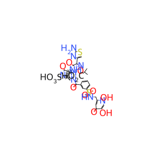 CC(C)(O/N=C(\C(=O)N[C@@H]1C(=O)N(S(=O)(=O)O)[C@@H]1CNC(=O)c1cccc(S(=O)(=O)NCc2cc(=O)c(O)cn2O)c1)c1csc(N)n1)C(=O)O